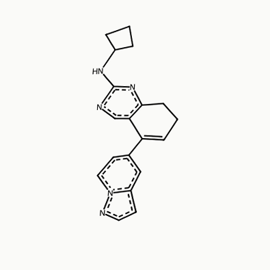 C1=C(c2ccn3nccc3c2)c2cnc(NC3CCC3)nc2CC1